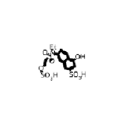 CCN(c1ccc2c(O)cc(S(=O)(=O)O)cc2c1)S(=O)(=O)CCOS(=O)(=O)O